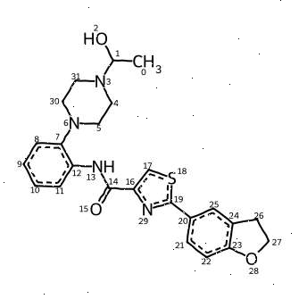 CC(O)N1CCN(c2ccccc2NC(=O)c2csc(-c3ccc4c(c3)CCO4)n2)CC1